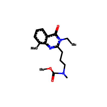 COc1cccc2c(=O)n(CC(C)(C)C)c(CCCN(C)C(=O)OC(C)(C)C)nc12